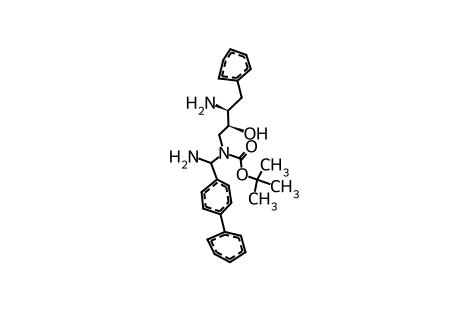 CC(C)(C)OC(=O)N(C[C@H](O)[C@@H](N)Cc1ccccc1)C(N)c1ccc(-c2ccccc2)cc1